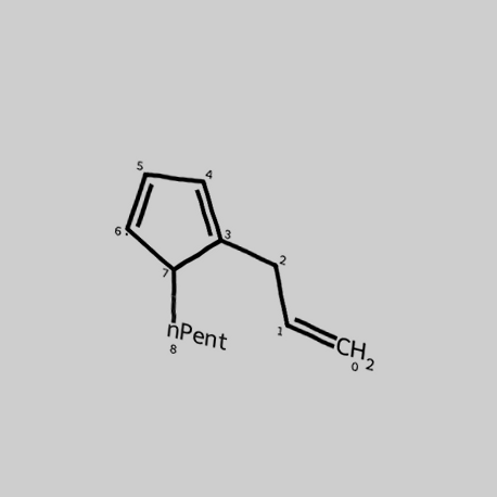 C=CCC1=CC=[C]C1CCCCC